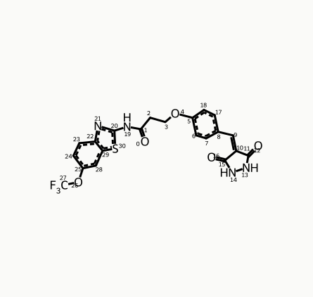 O=C(CCOc1ccc(C=C2C(=O)NNC2=O)cc1)Nc1nc2ccc(OC(F)(F)F)cc2s1